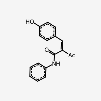 CC(=O)C(=Cc1ccc(O)cc1)C(=O)Nc1ccccc1